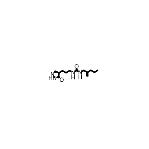 C=C(CCC)CNC(=O)NCCCC1C=NNC1=O